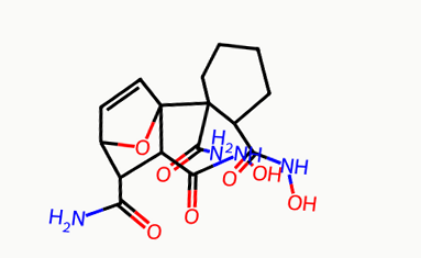 NC(=O)C1C2C=CC(C3(C(N)=O)CCCCC3C(=O)NO)(O2)C1C(=O)NO